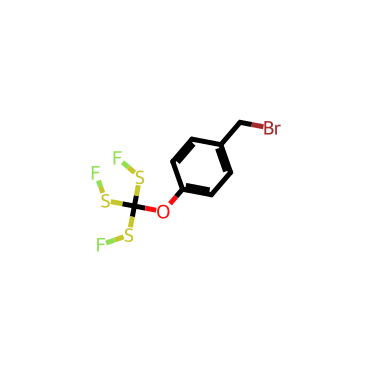 FSC(Oc1ccc(CBr)cc1)(SF)SF